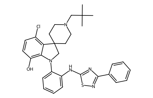 CC(C)(C)CN1CCC2(CC1)CN(c1ccccc1Nc1nc(-c3ccccc3)ns1)c1c(O)ccc(Cl)c12